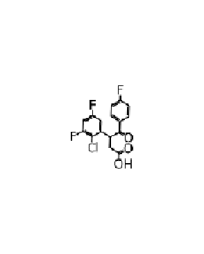 O=C(O)CC(C(=O)c1ccc(F)cc1)c1cc(F)cc(F)c1Cl